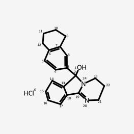 Cl.OC1(c2ccc3c(c2)CCCC3)c2ccccc2C2=NCCCN21